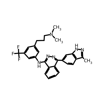 Cc1n[nH]c2cc(-c3nnc(Nc4cc(CCCN(C)C)cc(C(F)(F)F)c4)c4ccccc34)ccc12